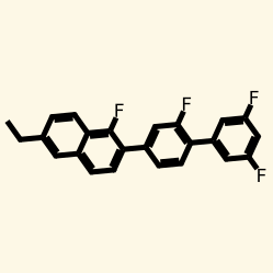 CCc1ccc2c(F)c(-c3ccc(-c4cc(F)cc(F)c4)c(F)c3)ccc2c1